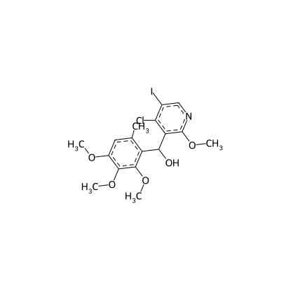 COc1cc(C)c(C(O)c2c(OC)ncc(I)c2Cl)c(OC)c1OC